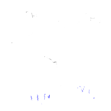 CC1CC(C(N)N)CC(C)(C)C1